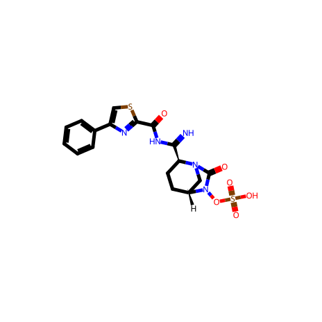 N=C(NC(=O)c1nc(-c2ccccc2)cs1)[C@@H]1CC[C@@H]2CN1C(=O)N2OS(=O)(=O)O